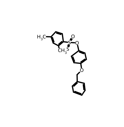 Cc1ccc(S(=O)(=S)Oc2ccc(OCc3ccccc3)cc2)c(C)c1